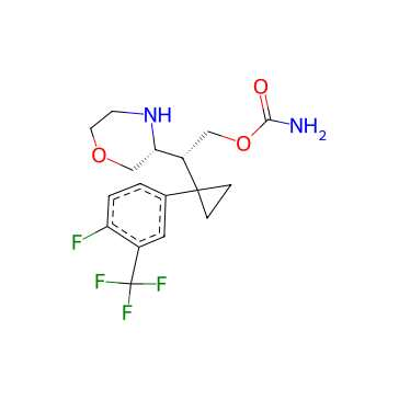 NC(=O)OC[C@@H]([C@@H]1COCCN1)C1(c2ccc(F)c(C(F)(F)F)c2)CC1